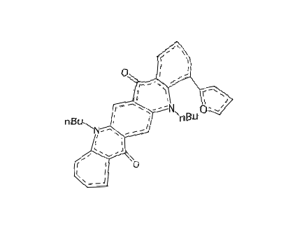 CCCCn1c2ccccc2c(=O)c2cc3c(cc21)c(=O)c1cccc(-c2ccco2)c1n3CCCC